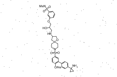 CNS(=O)(=O)c1cccc(OCC(O)CNC2COC3(CCN(S(=O)(=O)c4ccc(OC)c(-c5ccc(C6(N)CC6)cc5)c4)CC3)C2)c1